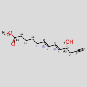 C#CC[C@@H](O)/C=C/C=C/CCCCC(=O)OC